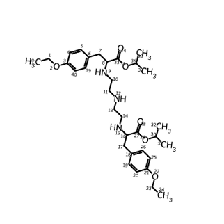 CCOc1ccc(CC(NCCNCCNC(Cc2ccc(OCC)cc2)C(=O)OC(C)C)C(=O)OC(C)C)cc1